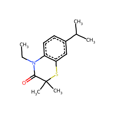 CCN1C(=O)C(C)(C)Sc2cc(C(C)C)ccc21